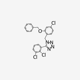 Clc1ccc(Cn2nnnc2-c2cccc(Cl)c2Cl)c(OCc2ccccc2)c1